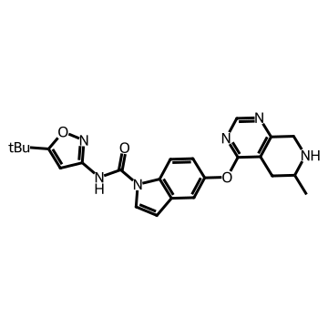 CC1Cc2c(ncnc2Oc2ccc3c(ccn3C(=O)Nc3cc(C(C)(C)C)on3)c2)CN1